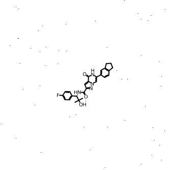 CC(C)(O)[C@@H](NC(=O)c1cc2c(=O)[nH]c(-c3ccc4c(c3)CCC4)cn2n1)c1ccc(F)cc1